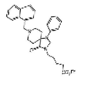 CCOC(=O)CCCCN1CN(c2ccccc2)C2(CCN(Cc3cccc4ccccc34)CC2)C1=O